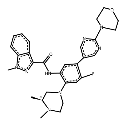 C[C@H]1CN(c2cc(F)c(-c3cnc(N4CCOCC4)nc3)cc2NC(=O)c2nn(C)c3ccccc23)CCN1C